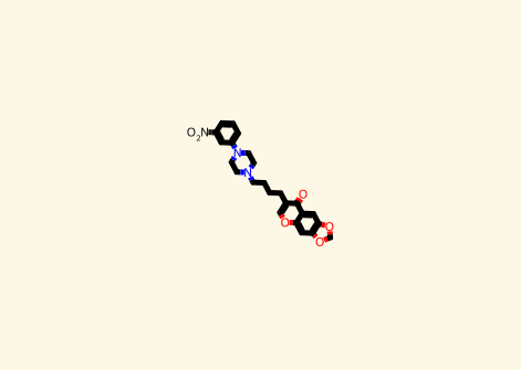 O=c1c(CCCCN2CCN(c3cccc([N+](=O)[O-])c3)CC2)coc2cc3c(cc12)OCO3